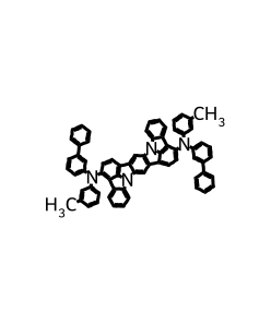 Cc1cccc(N(c2cccc(-c3ccccc3)c2)c2ccc3c4cc5c(cc4n4c6ccccc6c2c34)c2ccc(N(c3cccc(C)c3)c3cccc(-c4ccccc4)c3)c3c4ccccc4n5c23)c1